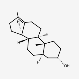 CC1=C2CC[C@@H]3[C@H](CC[C@@H]4C[C@@H](O)CC[C@]43C)[C@H]2CC1